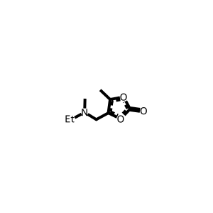 CCN(C)Cc1oc(=O)oc1C